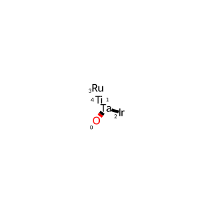 [O]=[Ta][Ir].[Ru].[Ti]